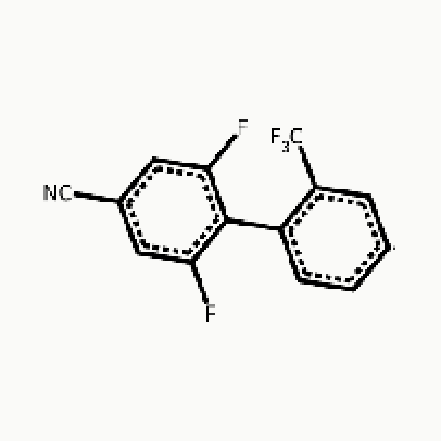 N#Cc1cc(F)c(-c2cc[c]cc2C(F)(F)F)c(F)c1